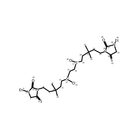 CCN1CC(=S)N(CCC(C)(C)CC[S+]([O-])CC[S+]([O-])CCC(C)(C)CCN2C(=O)N(CC)CC2=S)C1=O